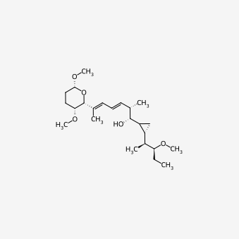 CC[C@H](OC)[C@@H](C)[C@H]1CC1[C@H](O)[C@@H](C)/C=C/C=C(\C)[C@H]1O[C@@H](OC)CC[C@H]1OC